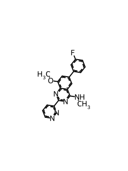 CNc1nc(-c2cccnn2)nc2c(OC)cc(-c3cccc(F)c3)cc12